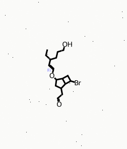 CCC(/C=C/OC1CC(CC=O)C2C(Br)CC12)CCCO